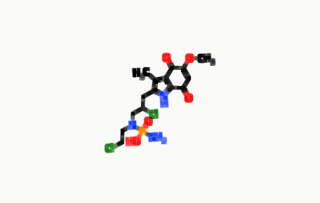 COC1=CC(=O)c2[nH]c(CC(Cl)CN(CCCl)P(N)(=O)O)c(C)c2C1=O